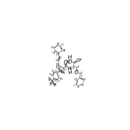 O=C(NC(COCc1ccccc1)C(=O)O)c1nc(-c2ccc(C(F)(F)F)cc2)oc1C#Cc1ccccc1